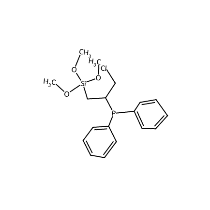 CO[Si](CC(CCl)P(c1ccccc1)c1ccccc1)(OC)OC